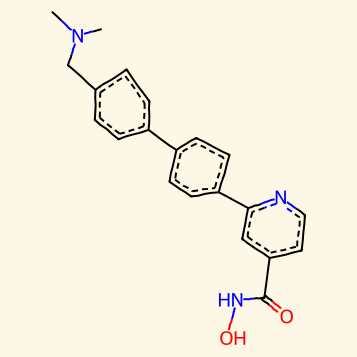 CN(C)Cc1ccc(-c2ccc(-c3cc(C(=O)NO)ccn3)cc2)cc1